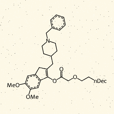 CCCCCCCCCCCCOCC(=O)OC1=C(CC2CCN(Cc3ccccc3)CC2)Cc2cc(OC)c(OC)cc21